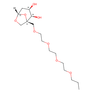 CCCOCCOCCOCCOC[C@]12CO[C@H](C[C@@H](O)[C@H]1O)O2